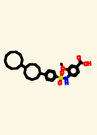 COc1cc(C(=O)O)ccc1NS(=O)(=O)c1ccc(C2CCCCC(C3CCCCCCCCC3)CCC2)cc1